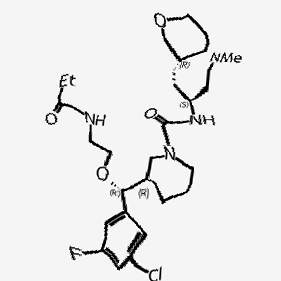 CCC(=O)NCCO[C@@H](c1cc(F)cc(Cl)c1)[C@@H]1CCCN(C(=O)N[C@H](CNC)C[C@H]2CCCOC2)C1